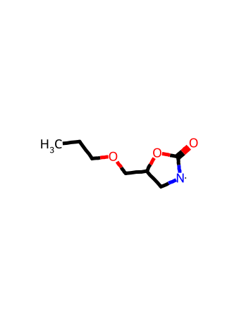 CCCOCC1C[N]C(=O)O1